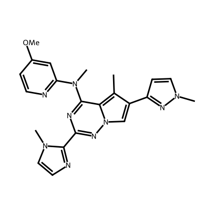 COc1ccnc(N(C)c2nc(-c3nccn3C)nn3cc(-c4ccn(C)n4)c(C)c23)c1